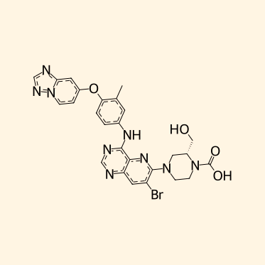 Cc1cc(Nc2ncnc3cc(Br)c(N4CCN(C(=O)O)[C@@H](CO)C4)nc23)ccc1Oc1ccn2ncnc2c1